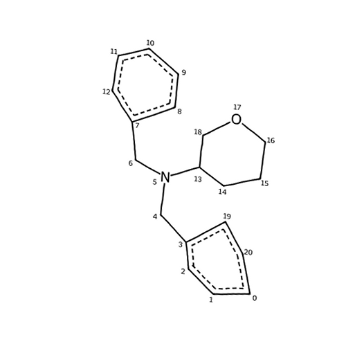 c1ccc(CN(Cc2ccccc2)C2CCCOC2)cc1